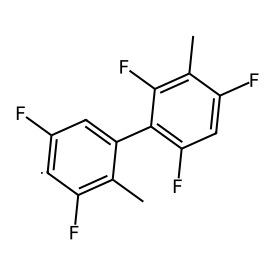 Cc1c(F)[c]c(F)cc1-c1c(F)cc(F)c(C)c1F